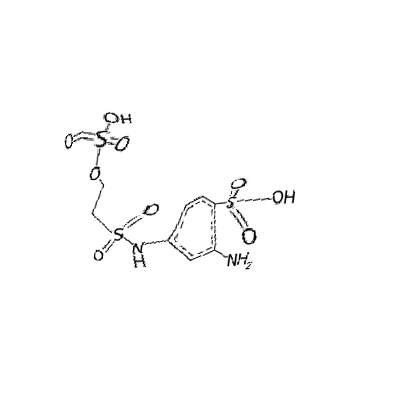 Nc1cc(NS(=O)(=O)CCOS(=O)(=O)O)ccc1S(=O)(=O)O